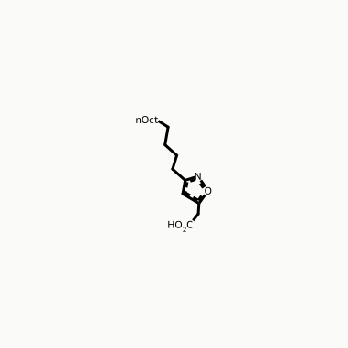 CCCCCCCCCCCCc1cc(CC(=O)O)on1